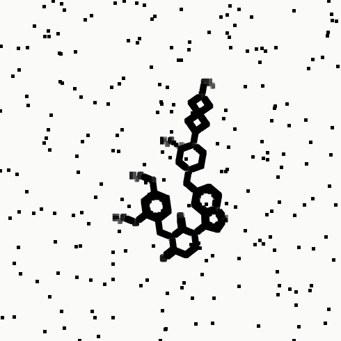 COc1ccc(CN2C(=O)CCN(c3cnn4ccc(CN5CCN(C6CC7(C6)CN(C)C7)[C@@H](C)C5)cc34)C2=O)c(OC)c1